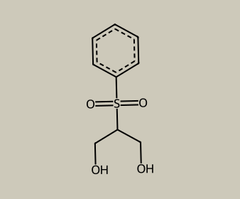 O=S(=O)(c1ccccc1)C(CO)CO